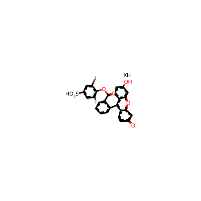 O=C(Oc1c(I)cc(S(=O)(=O)O)cc1I)c1ccccc1-c1c2ccc(=O)cc-2oc2cc(O)ccc12.[KH]